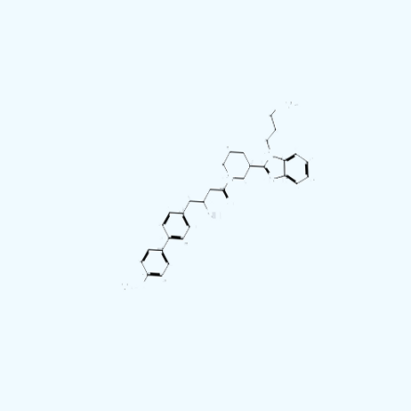 COCCCn1c(C2CCCN(C(=O)CC(N)Cc3ccc(-c4ccc(OC)cc4)cc3)C2)nc2ccccc21